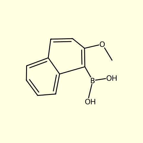 COc1ccc2ccccc2c1B(O)O